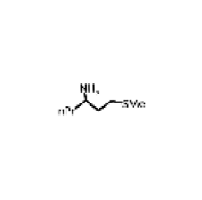 [CH2]CCC(N)CCSC